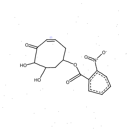 O=C(OC1C/C=C\C(=O)C(O)C(O)C1)c1ccccc1[N+](=O)[O-]